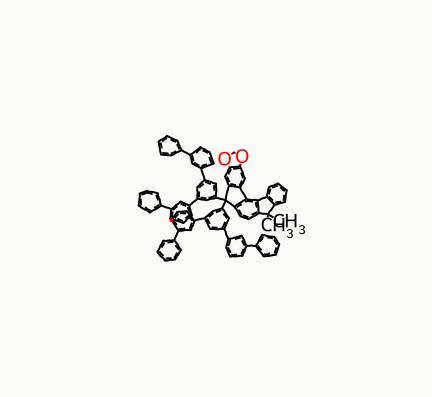 CC1(C)c2ccccc2-c2c1ccc1c2-c2cc3c(cc2C1(c1cc(-c2cccc(-c4ccccc4)c2)cc(-c2cccc(-c4ccccc4)c2)c1)c1cc(-c2cccc(-c4ccccc4)c2)cc(-c2cccc(-c4ccccc4)c2)c1)OCO3